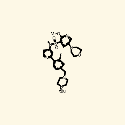 COc1ncc(N2CCOCC2)cc1S(=O)(=O)N(C)c1ccnc(-c2ccc(CN3CCN(C(C)(C)C)CC3)cc2F)c1